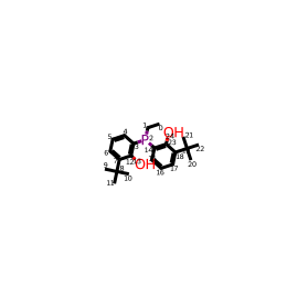 CCP(c1cccc(C(C)(C)C)c1O)c1cccc(C(C)(C)C)c1O